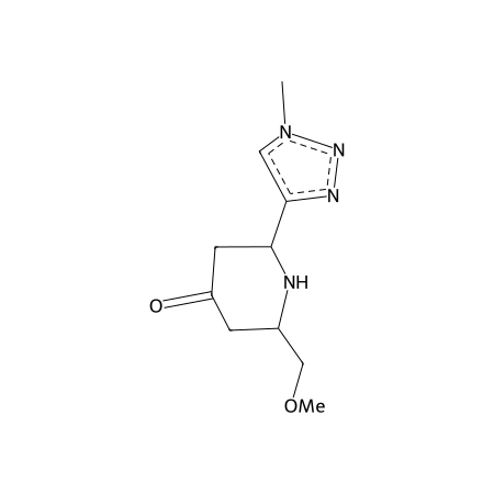 COCC1CC(=O)CC(c2cn(C)nn2)N1